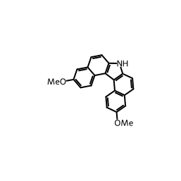 COc1ccc2c(ccc3[nH]c4ccc5cc(OC)ccc5c4c32)c1